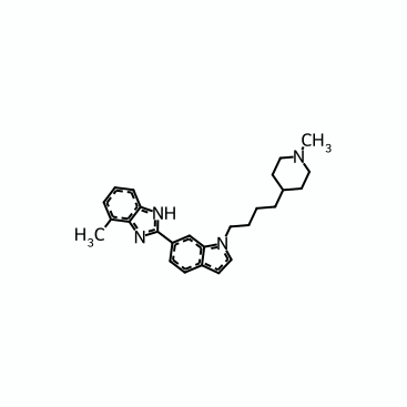 Cc1cccc2[nH]c(-c3ccc4ccn(CCCCC5CCN(C)CC5)c4c3)nc12